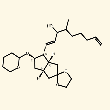 C=CCCCC(C)C(O)C=C[C@@H]1[C@@H]2CC3(C[C@@H]2C[C@H]1OC1CCCCO1)OCCO3